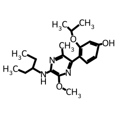 CCC(CC)Nc1nc(C)c(-c2ccc(O)cc2OC(C)C)nc1OC